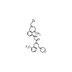 CN1CCN(CC2CC2)Cc2cccc(NCC(=O)N(CCN3CCOCC3)Cc3ncccc3C(F)(F)F)c21